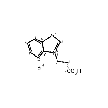 O=C(O)CC[n+]1csc2ccccc21.[Br-]